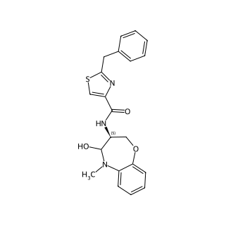 CN1c2ccccc2OC[C@H](NC(=O)c2csc(Cc3ccccc3)n2)C1O